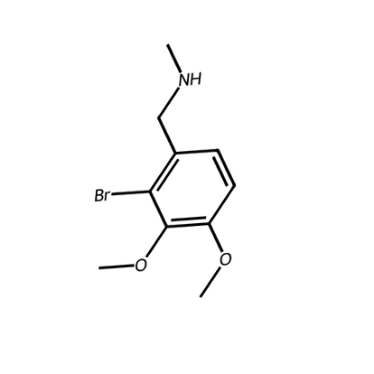 CNCc1ccc(OC)c(OC)c1Br